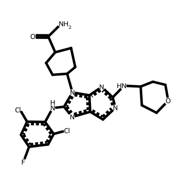 NC(=O)C1CCC(n2c(Nc3c(Cl)cc(F)cc3Cl)nc3cnc(NC4CCOCC4)nc32)CC1